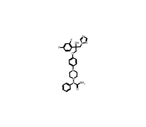 NC(=O)N(c1ccccc1)N1CCN(c2ccc(OCC(O)(Cn3cncn3)c3ccc(F)cc3F)cc2)CC1